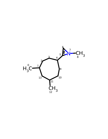 CC1CCC(C2=CN2C)CCC(C)C1